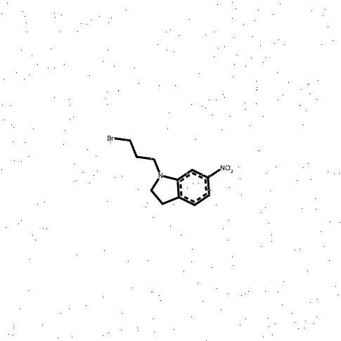 O=[N+]([O-])c1ccc2c(c1)N(CCCBr)CC2